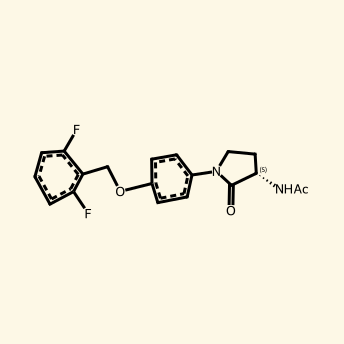 CC(=O)N[C@H]1CCN(c2ccc(OCc3c(F)cccc3F)cc2)C1=O